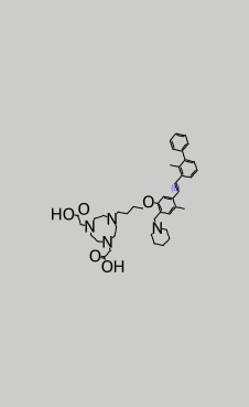 Cc1cc(CN2CCCCC2)c(OCCCCN2CCN(CC(=O)O)CCN(CC(=O)O)CC2)cc1/C=C/c1cccc(-c2ccccc2)c1C